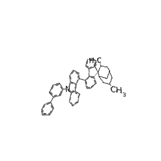 CC1CC2CC(C)C3(c4ccccc4-c4c(-c5cccc6c5c5ccccc5n6-c5cccc(-c6ccccc6)c5)cccc43)C(C1)C2